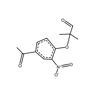 CC(=O)c1ccc(OC(C)(C)C=O)c([N+](=O)[O-])c1